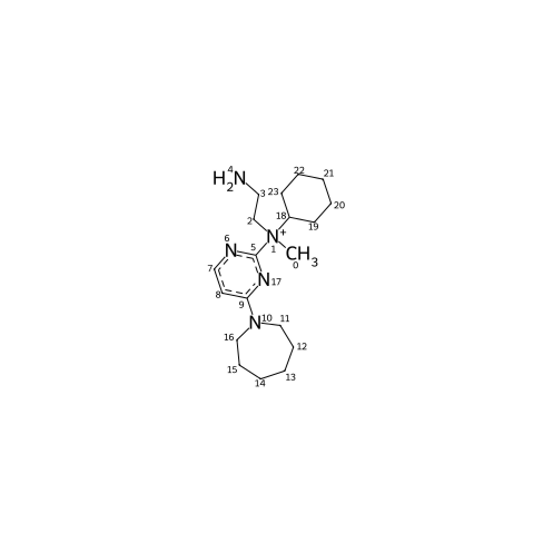 C[N+](CCN)(c1nccc(N2CCCCCC2)n1)C1CCCCC1